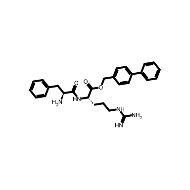 N=C(N)NCCC[C@H](NC(=O)[C@@H](N)Cc1ccccc1)C(=O)OCc1ccc(-c2ccccc2)cc1